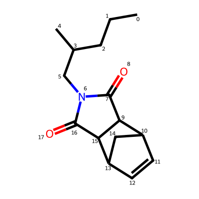 CCCC(C)CN1C(=O)C2C3C=CC(C3)C2C1=O